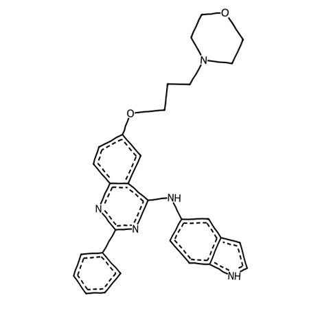 c1ccc(-c2nc(Nc3ccc4[nH]ccc4c3)c3cc(OCCCN4CCOCC4)ccc3n2)cc1